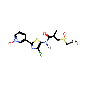 CCN(C(=O)C(C)C[S+]([O-])CC(F)(F)F)c1sc(-c2ccc[n+]([O-])c2)nc1Cl